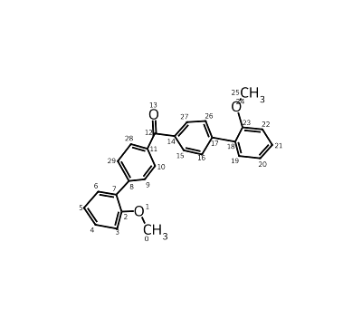 COc1ccccc1-c1ccc(C(=O)c2ccc(-c3ccccc3OC)cc2)cc1